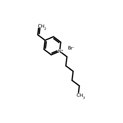 C=Cc1cc[n+](CCCCCC)cc1.[Br-]